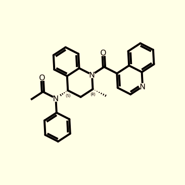 CC(=O)N(c1ccccc1)[C@H]1C[C@@H](C)N(C(=O)c2ccnc3ccccc23)c2ccccc21